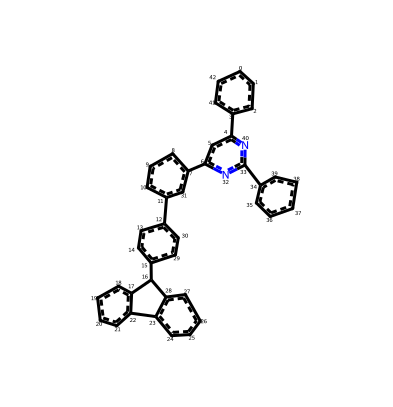 c1ccc(-c2cc(-c3cccc(-c4ccc(C5c6ccccc6-c6ccccc65)cc4)c3)nc(-c3ccccc3)n2)cc1